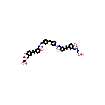 CC(C)(c1ccc2c(c1)CN(CCO)CO2)c1ccc2c(c1)CN(Cc1ccc(Cc3ccc(N4COc5ccc(C(C)(C)c6ccc7c(c6)CN(CCO)CO7)cc5C4)cc3)cc1)CO2